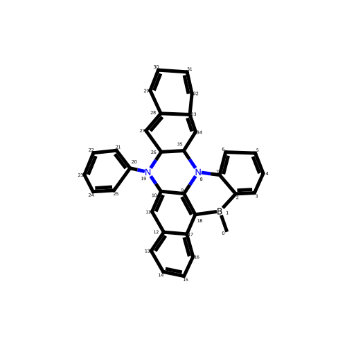 CB1c2ccccc2N2c3c(cc4ccccc4c31)N(c1ccccc1)C1C=c3ccccc3=CC12